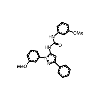 COc1cccc(NC(=O)Nc2cc(-c3ccccc3)nn2-c2cccc(OC)c2)c1